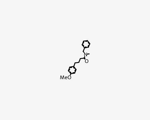 COc1ccc(CCCC(=O)N(C)Cc2ccccc2)cc1